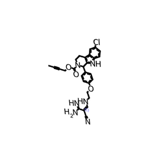 CC#CCOC(=O)N1CCc2c([nH]c3ccc(Cl)cc23)C1c1ccc(OCCN/C=C(/C#N)C(=N)N)cc1